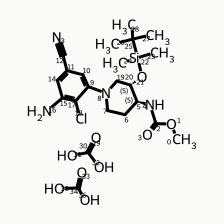 COC(=O)N[C@H]1CCN(c2cc(C#N)cc(N)c2Cl)C[C@@H]1O[Si](C)(C)C(C)(C)C.O=C(O)O.O=C(O)O